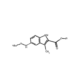 CCCCSNc1ccc2[nH]c(C(=O)OC(C)C)c(C)c2c1